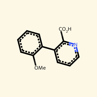 COc1ccccc1-c1cccnc1C(=O)O